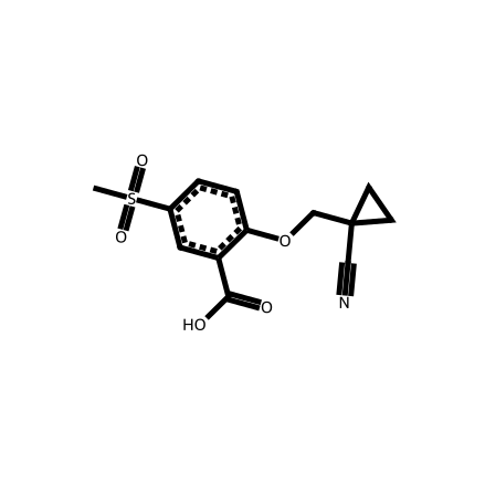 CS(=O)(=O)c1ccc(OCC2(C#N)CC2)c(C(=O)O)c1